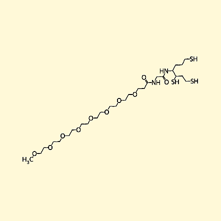 COCCOCCOCCOCCOCCOCCOCCOCCC(=O)NCC(=O)NC(CCCS)C(S)CCS